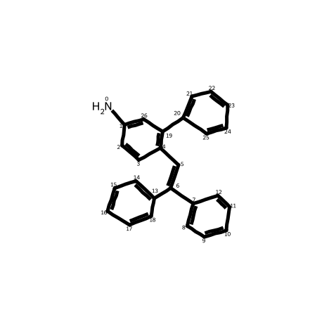 Nc1ccc(C=C(c2ccccc2)c2ccccc2)c(-c2ccccc2)c1